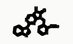 COc1ncccc1Cn1c(=O)[nH]c2cnc(-n3cnc4ccccc43)nc21